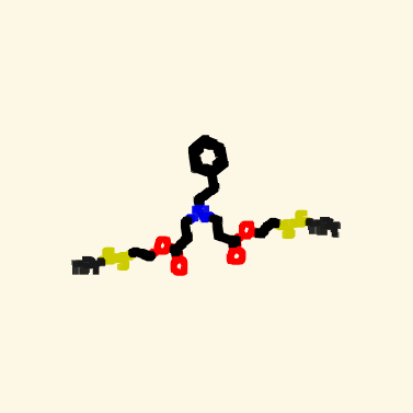 CCCSSCCOC(=O)CCN(CCC(=O)OCCSSCCC)CCc1ccccc1